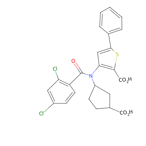 O=C(O)c1sc(-c2ccccc2)cc1N(C(=O)c1ccc(Cl)cc1Cl)C1CCC(C(=O)O)C1